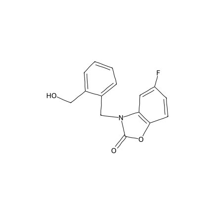 O=c1oc2ccc(F)cc2n1Cc1ccccc1CO